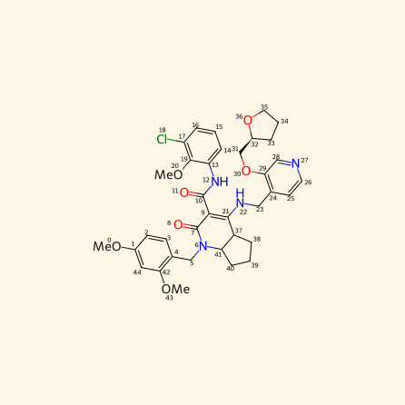 COc1ccc(CN2C(=O)C(C(=O)Nc3cccc(Cl)c3OC)=C(NCc3ccncc3OC[C@@H]3CCCO3)C3CCCC32)c(OC)c1